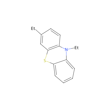 CCc1ccc2c(c1)Sc1ccccc1N2CC